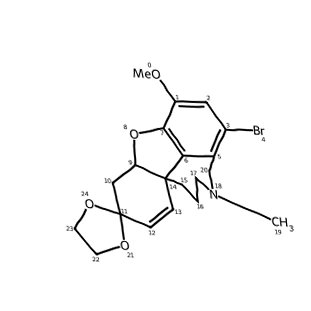 COc1cc(Br)c2c3c1OC1CC4(C=CC31CCCN(C)C2)OCCO4